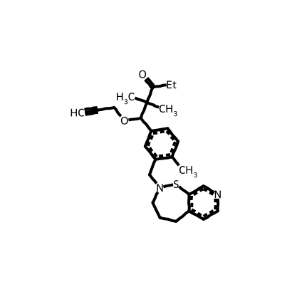 C#CCOC(c1ccc(C)c(CN2CCCc3ccncc3S2)c1)C(C)(C)C(=O)CC